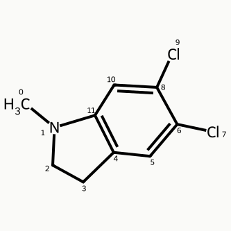 CN1CCc2cc(Cl)c(Cl)cc21